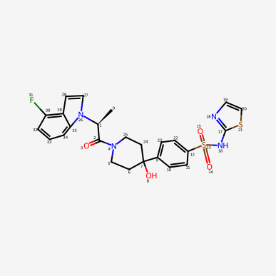 C[C@@H](C(=O)N1CCC(O)(c2ccc(S(=O)(=O)Nc3nccs3)cc2)CC1)n1ccc2c(F)cccc21